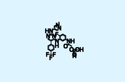 Cn1cc(Nc2ncc(-c3ccc(C(F)(F)F)cc3)c(Nc3cc(NC(=O)CO[PH](=O)O)ccc3F)n2)cn1